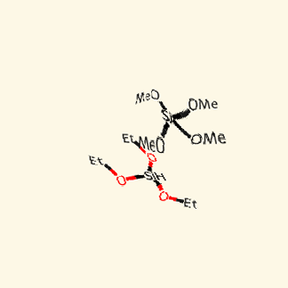 CCO[SiH](OCC)OCC.CO[Si](OC)(OC)OC